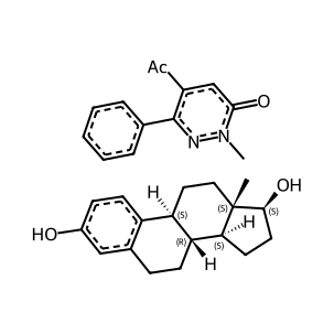 CC(=O)c1cc(=O)n(C)nc1-c1ccccc1.C[C@]12CC[C@@H]3c4ccc(O)cc4CC[C@H]3[C@@H]1CC[C@@H]2O